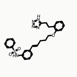 O=S(=O)(Nc1cccc(/C=C/CCCOc2ccccc2CCc2nnn[nH]2)c1)c1ccccc1